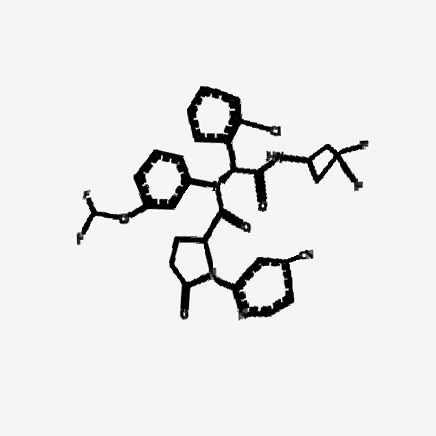 N#Cc1ccnc(N2C(=O)CCC2C(=O)N(c2cccc(OC(F)F)c2)[C@H](C(=O)NC2CC(F)(F)C2)c2ccccc2Cl)c1